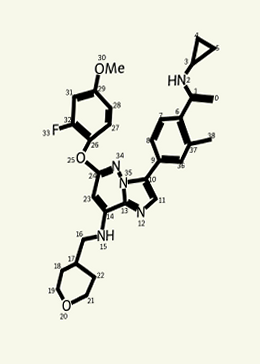 C=C(NC1CC1)c1ccc(-c2cnc3c(NCC4CCOCC4)cc(Oc4ccc(OC)cc4F)nn23)cc1C